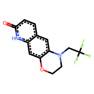 O=c1ccc2cc3c(cc2[nH]1)OCCN3CC(F)(F)F